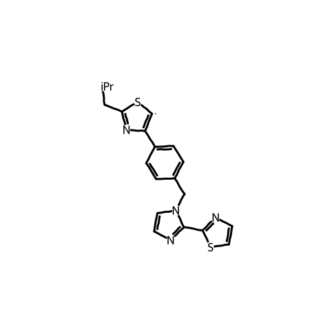 CC(C)Cc1nc(-c2ccc(Cn3ccnc3-c3nccs3)cc2)[c]s1